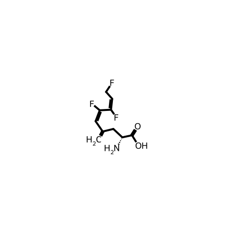 C=C(/C=C(F)\C(F)=C/CF)C[C@@H](N)C(=O)O